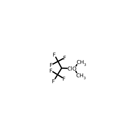 COC.FC(F)(F)C(Cl)C(F)(F)F